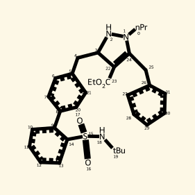 CCCN1NC(Cc2ccc(-c3ccccc3S(=O)(=O)NC(C)(C)C)cc2)C(C(=O)OCC)=C1Cc1ccccc1